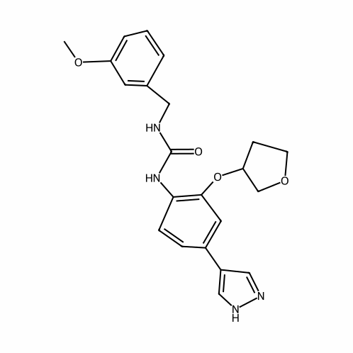 COc1cccc(CNC(=O)Nc2ccc(-c3cn[nH]c3)cc2OC2CCOC2)c1